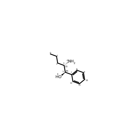 CCC[C@H](N)[C@H](O)c1ccccc1